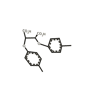 Cc1ccc(OC(C(=O)O)[C@H](Oc2ccc(C)cc2)C(=O)O)cc1